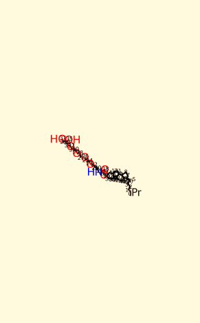 CC(C)CCC[C@@H](C)C1CCC2C3CC=C4C[C@H](OC(=O)NCCCOCCOCCOCCOCC(O)CO)CC[C@@]4(C)C3CC[C@]21C